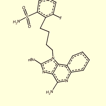 CCCCc1nc2c(N)nc3ccccc3c2n1CCCCc1c(F)cccc1S(N)(=O)=O